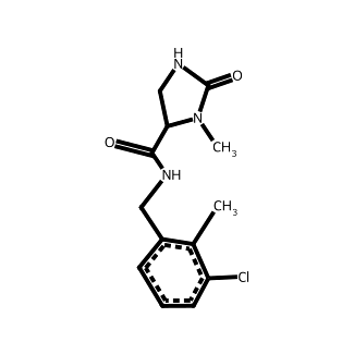 Cc1c(Cl)cccc1CNC(=O)C1CNC(=O)N1C